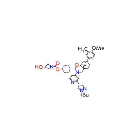 COc1ccc(C23CCC(CN(c4ccnc(-c5cnn(C(C)(C)C)c5)c4)C(=O)[C@H]4CC[C@H](OC(=O)N5CC(O)C5)CC4)(CC2)CC3)cc1C